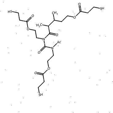 CC(=O)N(CCOC(=O)CCS)C(=O)N(CCOC(=O)CCS)C(=O)C(C)C(C)CCOC(=O)CCS